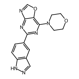 c1nc2nc(-c3ccc4[nH]ncc4c3)nc(N3CCOCC3)c2o1